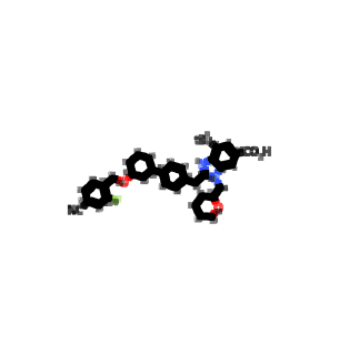 CC(C)(C)c1cc(C(=O)O)cc2c1nc(Cc1ccc(C3CCCC(OCc4ccc(C#N)cc4F)C3)cc1)n2CC1CCCCO1